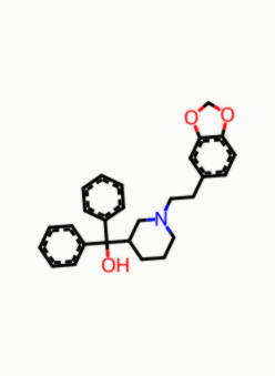 OC(c1ccccc1)(c1ccccc1)C1CCCN(CCc2ccc3c(c2)OCO3)C1